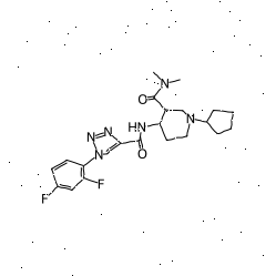 CN(C)C(=O)C1CN(C2CCCC2)CCC1NC(=O)c1cn(-c2ccc(F)cc2F)nn1